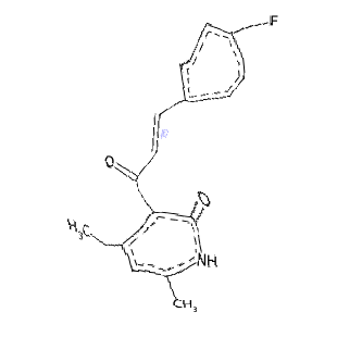 Cc1cc(C)c(C(=O)/C=C/c2ccc(F)cc2)c(=O)[nH]1